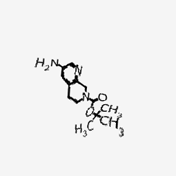 CC(C)(C)OC(=O)N1CCc2cc(N)cnc2C1